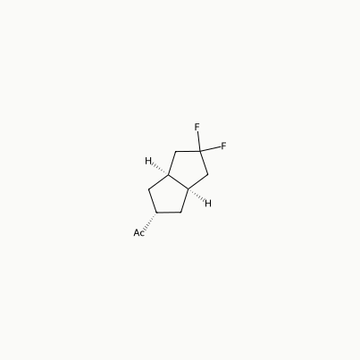 CC(=O)[C@H]1C[C@@H]2CC(F)(F)C[C@@H]2C1